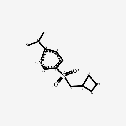 CC(C)c1ccc(S(=O)(=O)CC2CCC2)cn1